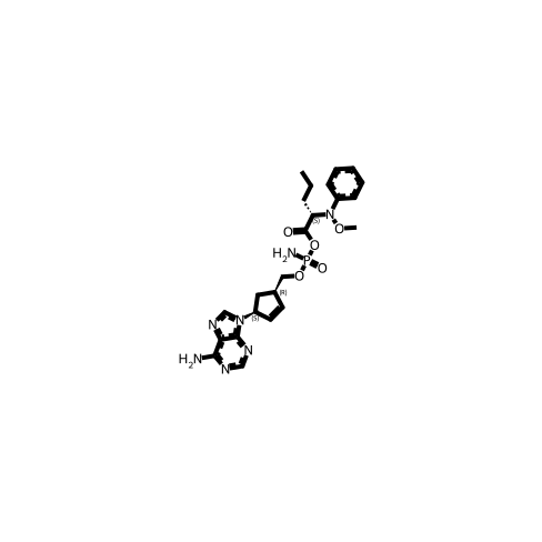 CCC[C@@H](C(=O)OP(N)(=O)OC[C@H]1C=C[C@@H](n2cnc3c(N)ncnc32)C1)N(OC)c1ccccc1